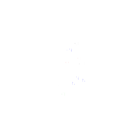 CNC(=O)OC(c1cccc(Cl)c1)C(C)n1nccn1